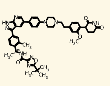 COc1cc(CCN2CCN(c3ccc(-c4cnc5[nH]nc(-c6ccc([C@@H](C)NC(=O)c7noc(C(C)(C)C)n7)c(C)c6)c5c4)cc3)CC2)ccc1C1CCC(=O)NC1=O